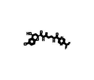 C=C(CCNC(=O)c1cnc(C(F)F)cn1)NC(=O)[C@H]1C[C@@H](O)c2cc(Cl)ccc2O1